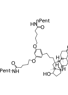 CCCCCNC(=O)CCCCOc1cc(CCCC2C[C@]3(C)C(O)CC[C@H]3[C@@H]3CCC4CC(=O)CC[C@]4(C)[C@H]23)cc(OCCCCC(=O)NCCCCC)c1